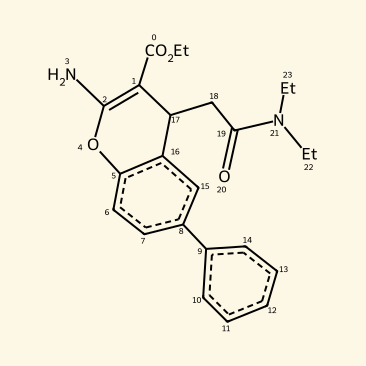 CCOC(=O)C1=C(N)Oc2ccc(-c3ccccc3)cc2C1CC(=O)N(CC)CC